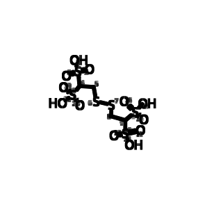 O=S(=O)(O)C(CSSCC(S(=O)(=O)O)S(=O)(=O)O)S(=O)(=O)O